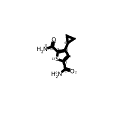 NC(=O)c1cc(C2CC2)c(C(N)=O)s1